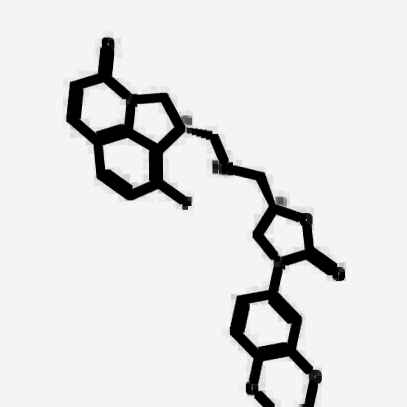 O=C1O[C@H](CNC[C@H]2Cn3c(=O)ccc4ccc(F)c2c43)CN1c1ccc2c(c1)OCCO2